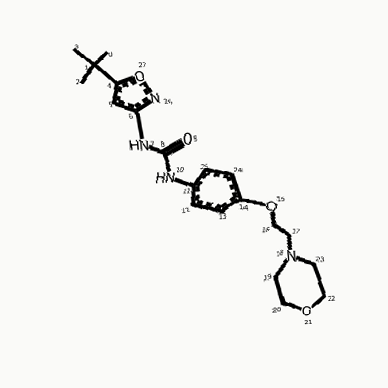 CC(C)(C)c1cc(NC(=O)Nc2ccc(OCCN3CCOCC3)cc2)no1